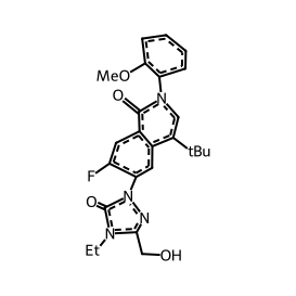 CCn1c(CO)nn(-c2cc3c(C(C)(C)C)cn(-c4ccccc4OC)c(=O)c3cc2F)c1=O